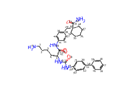 NCCCCC(NC(=O)Nc1ccc(-c2ccccc2)cc1)C(=O)Nc1ccc(CC2(C(N)=O)CCCCC2)cc1